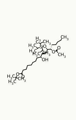 CCCCC[C@H](OC(C)=O)[C@@H](/C=C/[C@@H](O)CCCCCCCC(=O)OC(C)(C)C)O[Si](C(C)C)(C(C)C)C(C)C